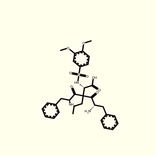 CCCC(C(=O)[C@@H](N)Cc1ccccc1)(C(=O)[C@@H](N)Cc1ccccc1)[C@H](NS(=O)(=O)c1ccc(OC)c(OC)c1)C(=O)O